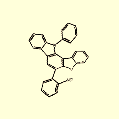 O=Nc1ccccc1-c1cc2c3ccccc3n(-c3ccccc3)c2c2c1oc1ccccc12